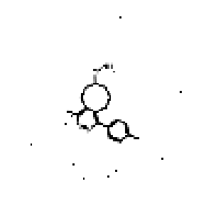 Cc1ccc(-c2nnc(C)c3c2CCCC(ON)CC3)cc1